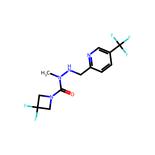 CN(NCc1ccc(C(F)(F)F)cn1)C(=O)N1CC(F)(F)C1